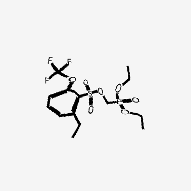 CCOP(=O)(COS(=O)(=O)c1c(CC)cccc1OC(F)(F)F)OCC